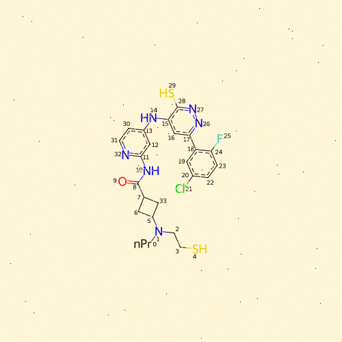 CCCN(CCS)C1CC(C(=O)Nc2cc(Nc3cc(-c4cc(Cl)ccc4F)nnc3S)ccn2)C1